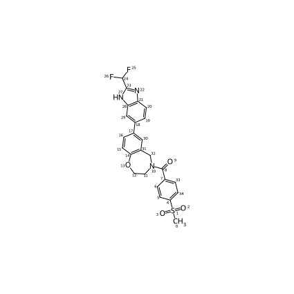 CS(=O)(=O)c1ccc(C(=O)N2CCOc3ccc(-c4ccc5nc(C(F)F)[nH]c5c4)cc3C2)cc1